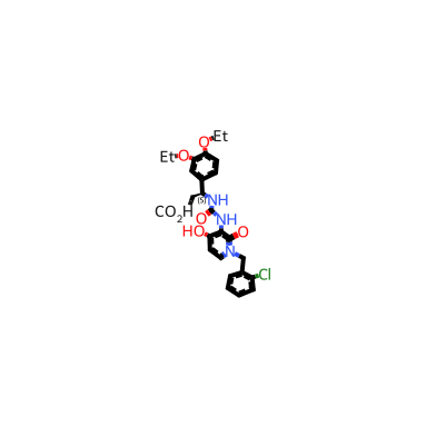 CCOc1ccc([C@H](CC(=O)O)NC(=O)Nc2c(O)ccn(Cc3ccccc3Cl)c2=O)cc1OCC